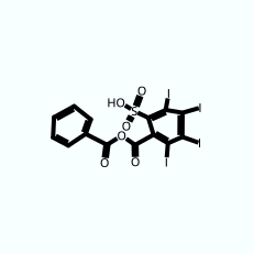 O=C(OC(=O)c1c(I)c(I)c(I)c(I)c1S(=O)(=O)O)c1ccccc1